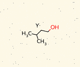 CC(C)CCO.[Y]